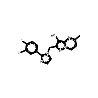 CCCc1c(Cn2ccnc2-c2ccc(F)c(Cl)c2)nn2ccc(C)nc12